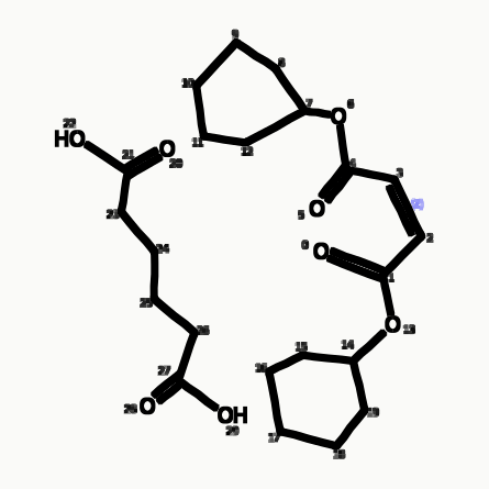 O=C(/C=C\C(=O)OC1CCCCC1)OC1CCCCC1.O=C(O)CCCCC(=O)O